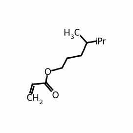 C=CC(=O)OCCCC(C)C(C)C